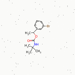 CC(OC(=O)NC(C)(C)C)c1cccc(Br)c1